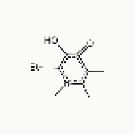 CCc1c(O)c(=O)c(C)c(C)n1C